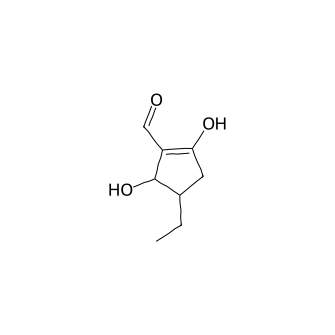 CCC1CC(O)=C(C=O)C1O